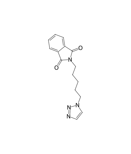 O=C1c2ccccc2C(=O)N1CCCCCn1ccnn1